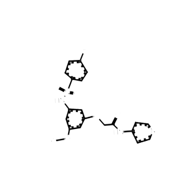 COc1cc(NS(=O)(=O)c2ccc(F)cc2)cc(OCC(=O)Nc2ccncc2)c1